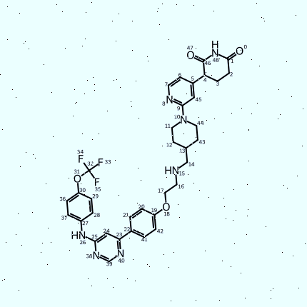 O=C1CCC(c2ccnc(N3CCC(CNCCOc4ccc(-c5cc(Nc6ccc(OC(F)(F)F)cc6)ncn5)cc4)CC3)c2)C(=O)N1